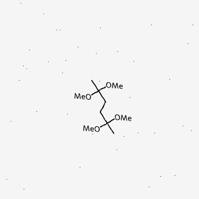 COC(C)(CCC(C)(OC)OC)OC